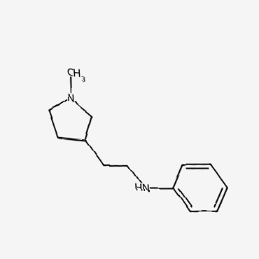 CN1CCC(CCNc2ccccc2)C1